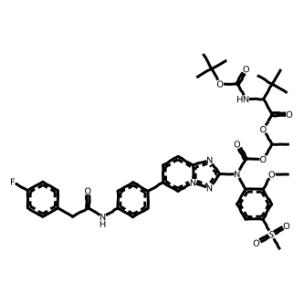 COc1cc(S(C)(=O)=O)ccc1N(C(=O)OC(C)OC(=O)C(NC(=O)OC(C)(C)C)C(C)(C)C)c1nc2ccc(-c3ccc(NC(=O)Cc4ccc(F)cc4)cc3)cn2n1